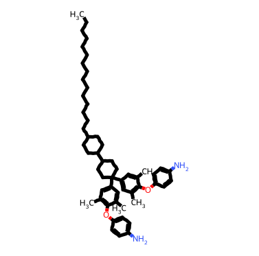 CCCCCCCCCCCCCCCC1CCC(C2CCC(c3cc(C)c(Oc4ccc(N)cc4)c(C)c3)(c3cc(C)c(Oc4ccc(N)cc4)c(C)c3)CC2)CC1